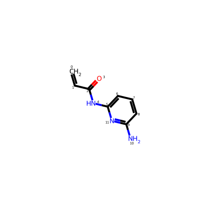 C=CC(=O)Nc1cccc(N)n1